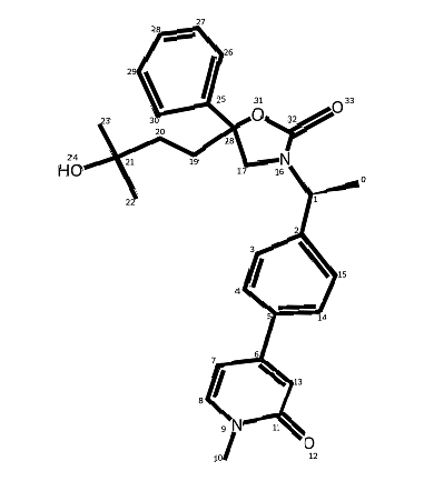 C[C@@H](c1ccc(-c2ccn(C)c(=O)c2)cc1)N1CC(CCC(C)(C)O)(c2ccccc2)OC1=O